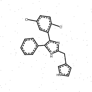 Clc1ccc(Cl)c(-c2nc(Cc3cc[nH]c3)[nH]c2-c2ccccc2)c1